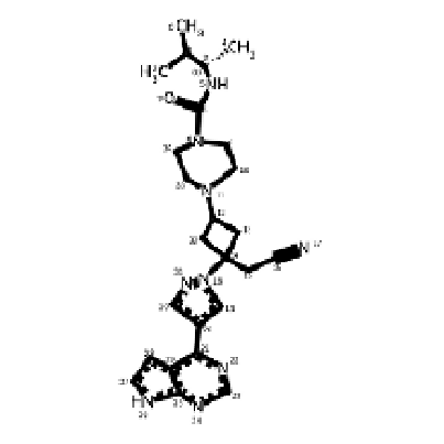 CC(C)[C@H](C)NC(=O)N1CCN(C2CC(CC#N)(n3cc(-c4ncnc5[nH]ccc45)cn3)C2)CC1